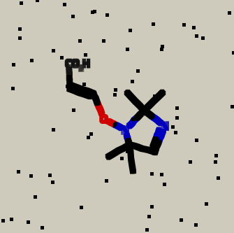 CC1(C)C=NC(C)(C)N1OC=CC(=O)O